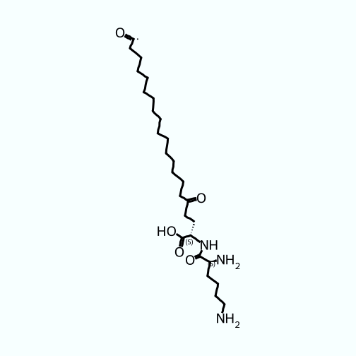 NCCCC[C@H](N)C(=O)N[C@@H](CCC(=O)CCCCCCCCCCCCCCC[C]=O)C(=O)O